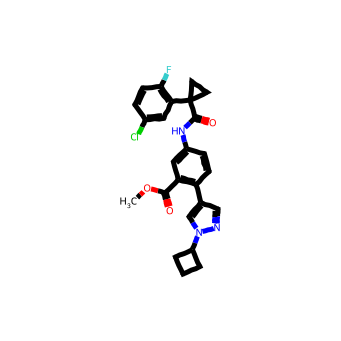 COC(=O)c1cc(NC(=O)C2(c3cc(Cl)ccc3F)CC2)ccc1-c1cnn(C2CCC2)c1